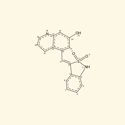 O=S1(=O)Nc2ccccc2C1=Cc1cc(O)cc2ncccc12